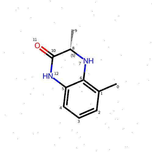 Cc1cccc2c1N[C@@H](C)C(=O)N2